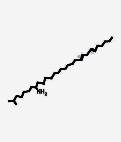 CCCCC/C=C/C/C=C/CCCCCCCCCCCC(N)CCCCCC(C)C